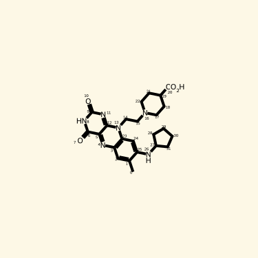 Cc1cc2nc3c(=O)[nH]c(=O)nc-3n(CCN3CCC(C(=O)O)CC3)c2cc1NC1CCCC1